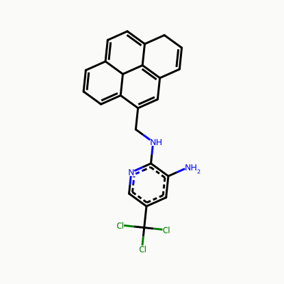 Nc1cc(C(Cl)(Cl)Cl)cnc1NCC1=CC2=C3C(=CC=C4C=CC=C1C43)CC=C2